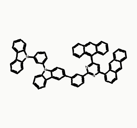 c1cc(-c2ccc3c(c2)c2ccccc2n3-c2cccc(-n3c4ccccc4c4ccccc43)c2)cc(-c2nc(-c3cccc4cc5ccccc5cc34)cc(-c3c4ccccc4cc4ccccc34)n2)c1